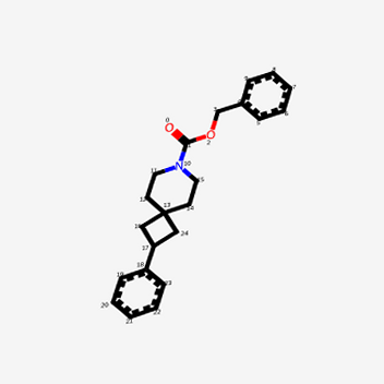 O=C(OCc1ccccc1)N1CCC2(CC1)CC(c1ccccc1)C2